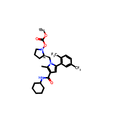 Cc1c(C(=O)NC2CCCCC2)cc(-c2cc(C(F)(F)F)ccc2C(F)(F)F)n1C[C@H]1CCCN1OC(=O)OC(C)(C)C